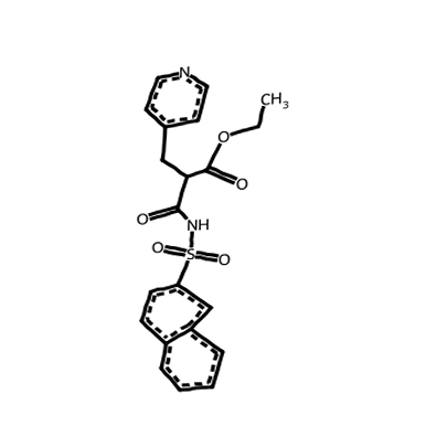 CCOC(=O)C(Cc1ccncc1)C(=O)NS(=O)(=O)c1ccc2ccccc2c1